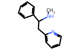 CNC(Cc1ccccn1)c1ccccc1